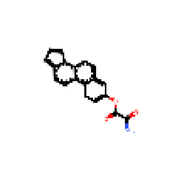 NC(=O)C(=O)OC1=CCc2c(ccc3c4c(ccc23)=CC=C4)=C1